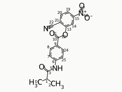 CC(C)C(=O)Nc1ccc(C(=O)Oc2cc([N+](=O)[O-])ccc2C#N)cc1